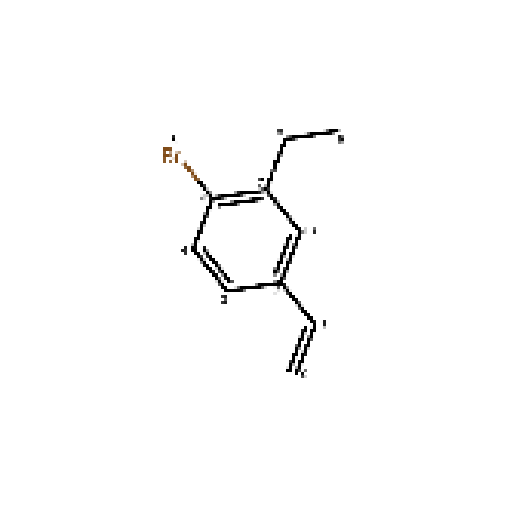 C=Cc1ccc(Br)c(CC)c1